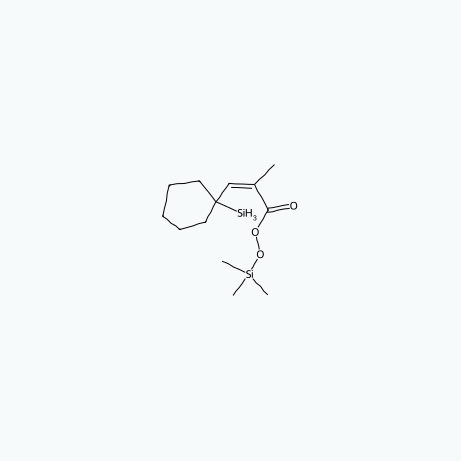 CC(=CC1([SiH3])CCCCC1)C(=O)OO[Si](C)(C)C